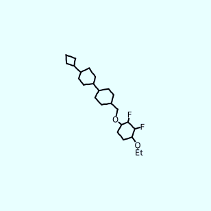 CCOC1CCC(OCC2CCC(C3CCC(C4CCC4)CC3)CC2)C(F)C1F